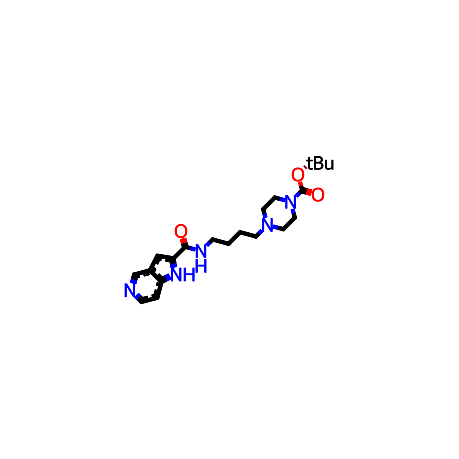 CC(C)(C)OC(=O)N1CCN(CCCCNC(=O)c2cc3cnccc3[nH]2)CC1